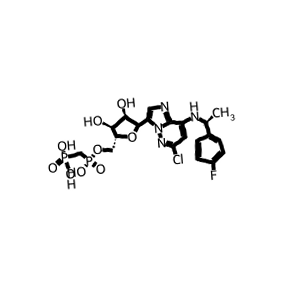 C[C@H](Nc1cc(Cl)nn2c(C3O[C@H](COP(=O)(O)CP(=O)(O)O)[C@@H](O)[C@H]3O)cnc12)c1ccc(F)cc1